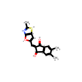 Cc1nc2oc(C=C3C(=O)c4cc(C)c(C)cc4C3=O)cc2s1